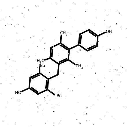 Cc1cc(C)c(-c2ccc(O)cc2)c(C)c1Cc1c(C(C)(C)C)cc(O)cc1C(C)(C)C